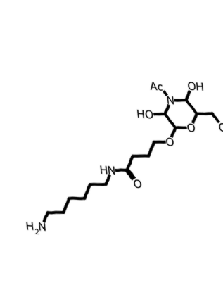 CC(=O)N1C(O)C(CO)OC(OCCCC(=O)NCCCCCCN)C1O